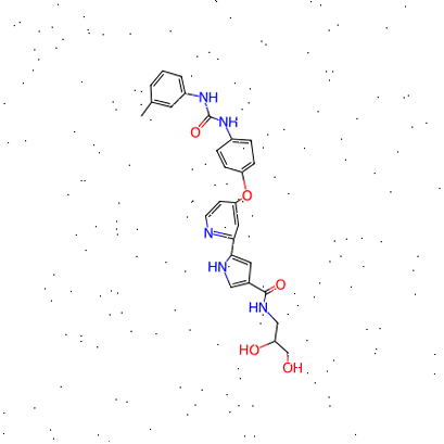 Cc1cccc(NC(=O)Nc2ccc(Oc3ccnc(-c4cc(C(=O)NCC(O)CO)c[nH]4)c3)cc2)c1